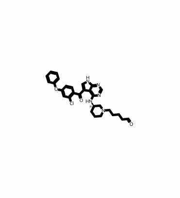 O=CCCCCN1CCC[C@@H](Nc2ncnc3[nH]cc(C(=O)c4ccc(Oc5ccccc5)cc4Cl)c23)C1